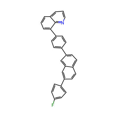 Fc1ccc(-c2ccc3ccc(-c4ccc(-c5cccc6cccnc56)cc4)cc3c2)cc1